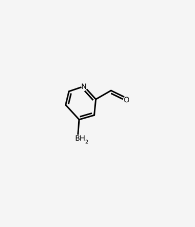 Bc1ccnc(C=O)c1